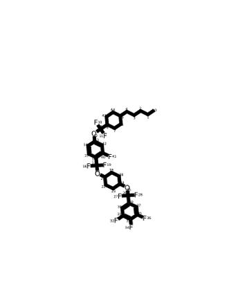 CCCCCC1CCC(C(F)(F)Oc2ccc(C(F)(F)OC3CCC(OC(F)(F)c4cc(F)c(F)c(F)c4)CC3)c(F)c2)CC1